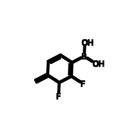 C=C1C=CC(B(O)O)=C(F)C1F